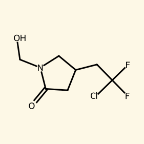 O=C1CC(CC(F)(F)Cl)CN1CO